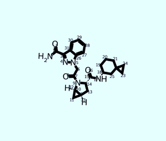 NC(=O)c1nn(CC(=O)N2[C@@H]3C[C@@H]3C[C@H]2C(=O)N[C@@H]2CCCC3(CC3)C2)c2ccccc12